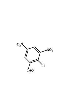 O=Cc1cc([N+](=O)[O-])cc([N+](=O)[O-])c1Cl